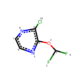 FC(F)Oc1nccnc1Cl